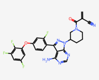 C=C(C#N)C(=O)N1CCCC(n2nc(-c3ccc(Oc4cc(F)cc(F)c4F)cc3F)c3c(N)ncnc32)C1